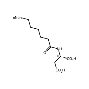 CCCCCCCCCCCCCCC(=O)N[C@@H](CC(=O)O)C(=O)O